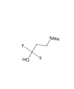 CN[CH]CC(O)(F)F